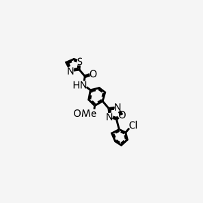 COc1cc(NC(=O)c2nccs2)ccc1-c1noc(-c2ccccc2Cl)n1